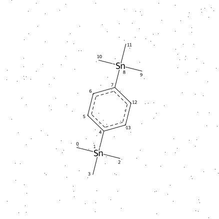 [CH3][Sn]([CH3])([CH3])[c]1cc[c]([Sn]([CH3])([CH3])[CH3])cc1